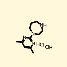 Cc1cc(C)nc(N2CCCNCC2)n1.Cl.Cl